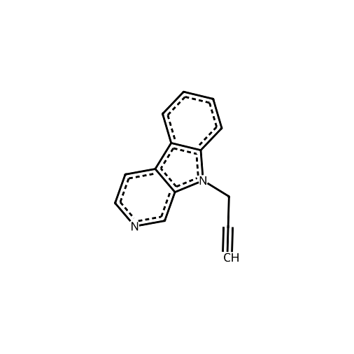 C#CCn1c2ccccc2c2ccncc21